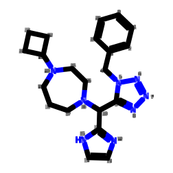 c1ccc(Cn2nnnc2C(c2ncc[nH]2)N2CCCN(C3CCC3)CC2)cc1